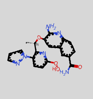 C[C@H](Oc1cc2cc(C(N)=O)ccc2nc1N)c1nc(OO)ccc1-n1cccn1